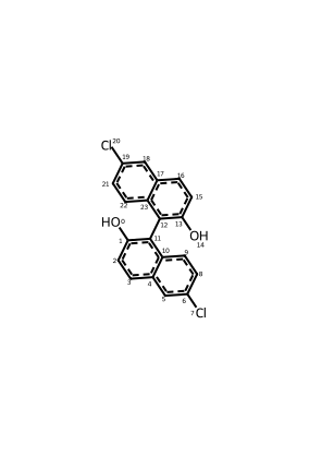 Oc1ccc2cc(Cl)ccc2c1-c1c(O)ccc2cc(Cl)ccc12